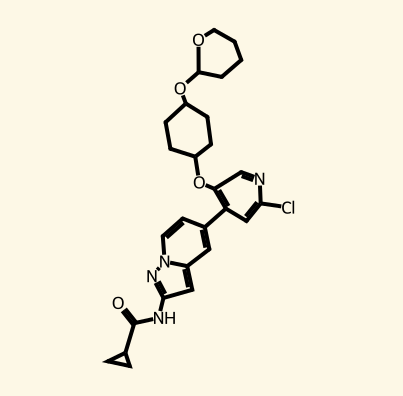 O=C(Nc1cc2cc(-c3cc(Cl)ncc3OC3CCC(OC4CCCCO4)CC3)ccn2n1)C1CC1